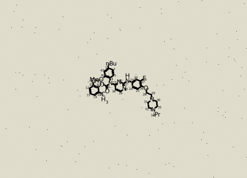 CCCCc1ccc(N(C(=O)Oc2c(C)cccc2C)c2ccnc(Nc3ccc(OCCN4CCN(C(C)C)CC4)c(F)c3)n2)c(OC)c1